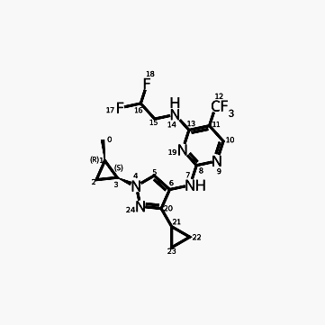 C[C@@H]1C[C@@H]1n1cc(Nc2ncc(C(F)(F)F)c(NCC(F)F)n2)c(C2CC2)n1